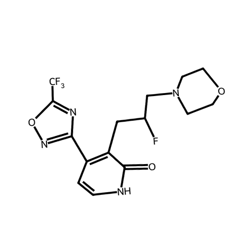 O=c1[nH]ccc(-c2noc(C(F)(F)F)n2)c1CC(F)CN1CCOCC1